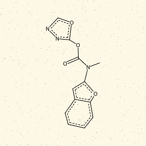 CN(C(=O)Oc1nnco1)c1cc2ccccc2o1